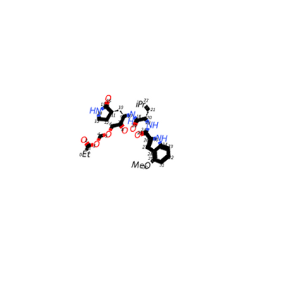 CCC(=O)OCOCC(=O)[C@H](C[C@@H]1CCNC1=O)NC(=O)[C@H](CC(C)C)NC(=O)c1cc2c(OC)cccc2[nH]1